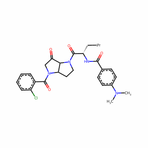 CC(C)C[C@H](NC(=O)c1ccc(N(C)C)cc1)C(=O)N1CCC2C1C(=O)CN2C(=O)c1ccccc1Cl